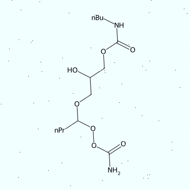 CCCCNC(=O)OCC(O)COC(CCC)OOC(N)=O